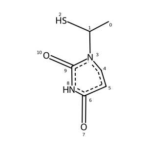 CC(S)n1ccc(=O)[nH]c1=O